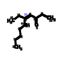 CCCCN/C(=C\C(=O)CC)CC